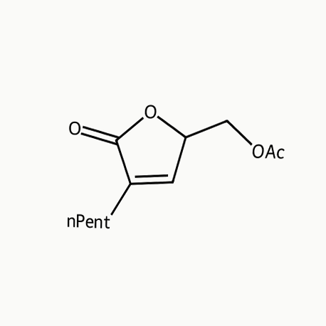 CCCCCC1=CC(COC(C)=O)OC1=O